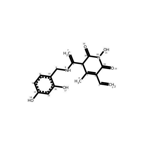 C=CC1=C(C)C(C(=C)NCc2ccc(O)cc2O)C(=O)N(O)C1=O